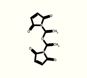 C=C(OC(=C)N1C(=O)C=CC1=O)N1C(=O)C=CC1=O